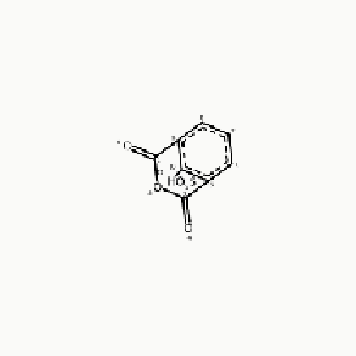 O=C1OC(=O)c2cccc1c2S(=O)(=O)O